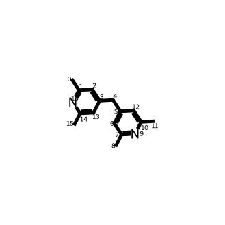 Cc1cc(Cc2cc(C)nc(C)c2)cc(C)n1